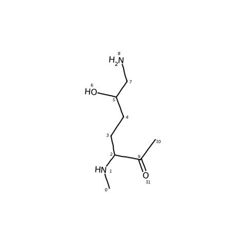 CNC(CCC(O)CN)C(C)=O